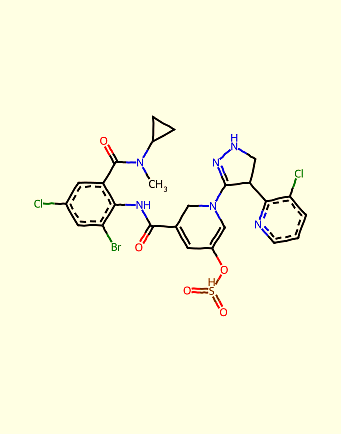 CN(C(=O)c1cc(Cl)cc(Br)c1NC(=O)C1=CC(O[SH](=O)=O)=CN(C2=NNCC2c2ncccc2Cl)C1)C1CC1